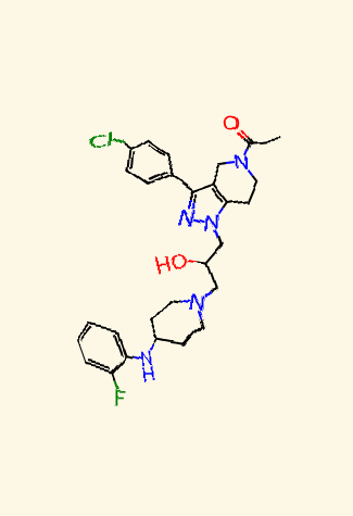 CC(=O)N1CCc2c(c(-c3ccc(Cl)cc3)nn2CC(O)CN2CCC(Nc3ccccc3F)CC2)C1